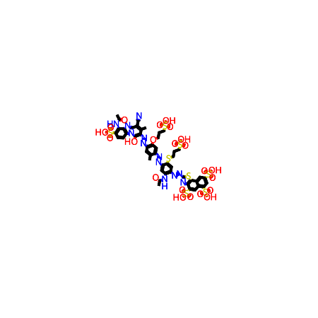 CC(=O)Nc1cc(N=Nc2cc(OCCCS(=O)(=O)O)c(N=Nc3c(C)c(C#N)c4nc5c(NC(C)=O)c(S(=O)(=O)O)ccc5n4c3O)cc2C)c(SCCCS(=O)(=O)O)cc1N=Nc1nc2c(S(=O)(=O)O)cc3c(S(=O)(=O)O)cc(S(=O)(=O)O)cc3c2s1